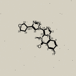 Cn1c(=O)c2cc(F)ccc2n2cnc(-n3cc(C4CCOC4)nn3)c12